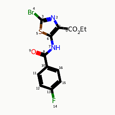 CCOC(=O)c1nc(Br)sc1NC(=O)c1ccc(F)cc1